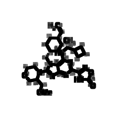 C=C[C@H]1CC[C@H](Cn2c(N3CCOCC3COC)nc3nc(-c4noc(=O)[nH]4)nc(N[C@H](C)C4CCC4)c32)CC1